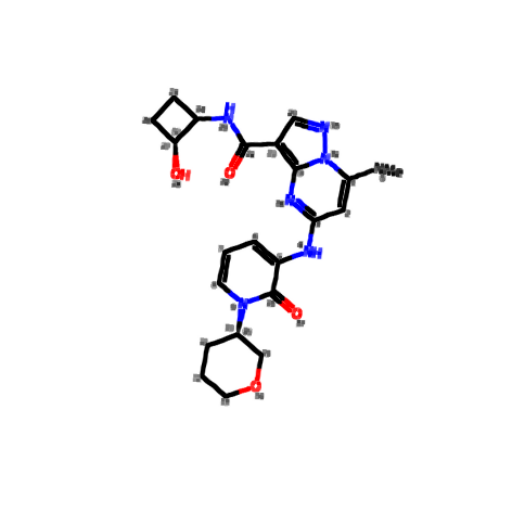 CNc1cc(Nc2cccn([C@@H]3CCCOC3)c2=O)nc2c(C(=O)NC3CC[C@@H]3O)cnn12